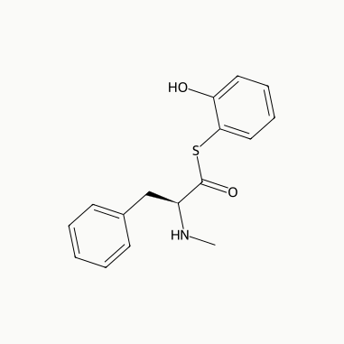 CN[C@@H](Cc1ccccc1)C(=O)Sc1ccccc1O